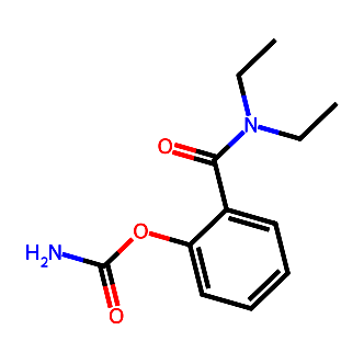 CCN(CC)C(=O)c1ccccc1OC(N)=O